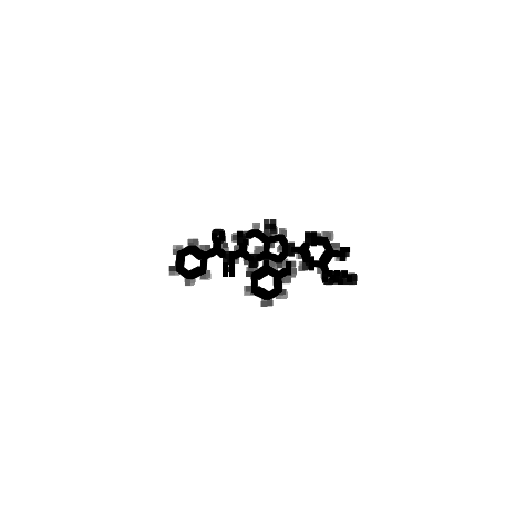 COc1nc(N2C[C@@H]3CN=C(NC(=O)c4ccccc4)S[C@@]3(c3ccccc3F)C2)ncc1F